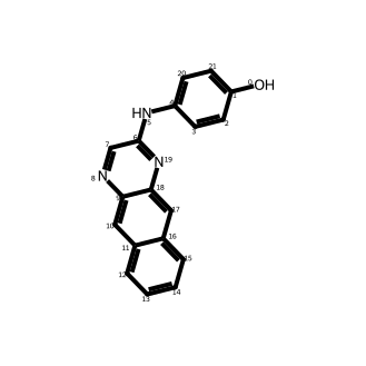 Oc1ccc(Nc2cnc3cc4ccccc4cc3n2)cc1